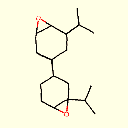 CC(C)C1CC(C2CCC3OC3(C(C)C)C2)CC2OC21